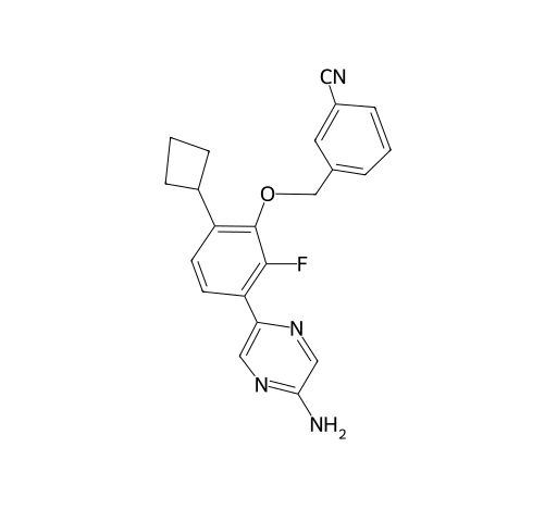 N#Cc1cccc(COc2c(C3CCC3)ccc(-c3cnc(N)cn3)c2F)c1